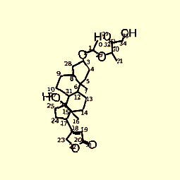 CC(OC1CCC2(C)C(CCC3C2CCC2(C)C(C4=CC(=O)OC4)CCC32O)C1)OC(C)[C@@H](O)CO